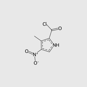 Cc1c([N+](=O)[O-])c[nH]c1C(=O)Cl